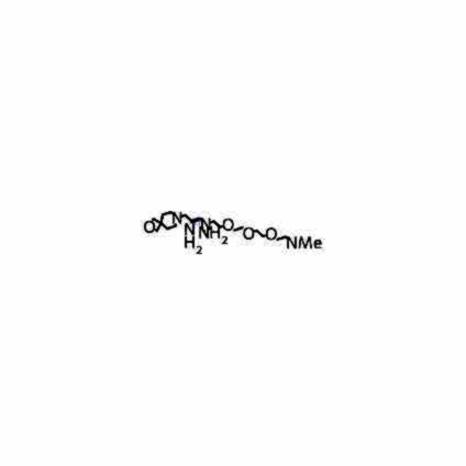 CNCCOCCOCCOCCN(N)/C=C(\N)CN1CCC2(CC1)COC2